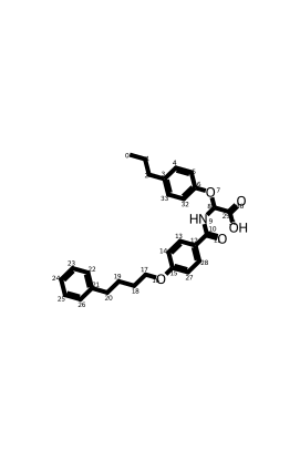 CCCc1ccc(OC(NC(=O)c2ccc(OCCCCc3ccccc3)cc2)C(=O)O)cc1